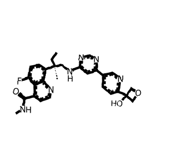 CC[C@@](C)(CNc1cc(-c2ccc(C3(O)COC3)nc2)ncn1)c1ccc(F)c2c(C(=O)NC)ccnc12